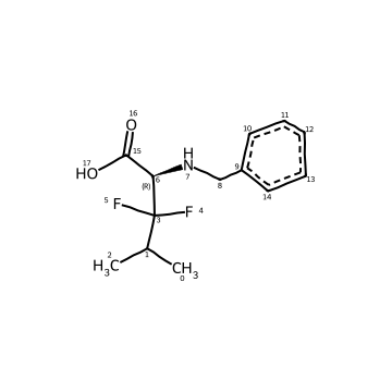 CC(C)C(F)(F)[C@H](NCc1ccccc1)C(=O)O